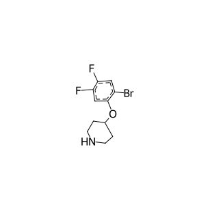 Fc1cc(Br)c(OC2CCNCC2)cc1F